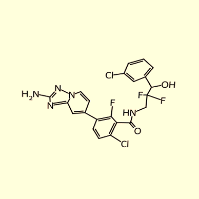 Nc1nc2cc(-c3ccc(Cl)c(C(=O)NCC(F)(F)C(O)c4cccc(Cl)c4)c3F)ccn2n1